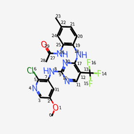 COc1cnc(Cl)c(Nc2ncc(C(F)(F)F)c(Nc3ccc(C)cc3NC(C)=O)n2)c1